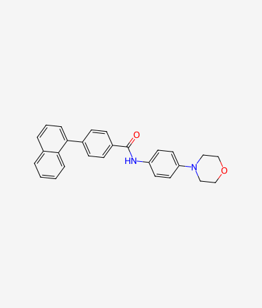 O=C(Nc1ccc(N2CCOCC2)cc1)c1ccc(-c2cccc3ccccc23)cc1